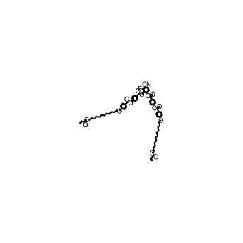 C=CC(=O)OCCCCCCCCCCCCOc1ccc(C(=O)Oc2ccc(C(=O)Oc3ccc(C#N)c(F)c3OC(=O)c3ccc(OC(=O)c4ccc(OCCCCCCCCCCCCOC(=O)C=C)cc4)cc3)cc2)cc1